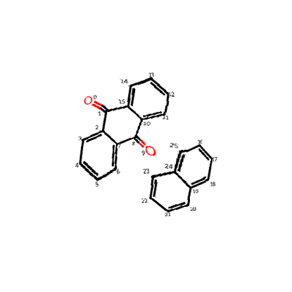 O=C1c2ccccc2C(=O)c2ccccc21.c1ccc2ccccc2c1